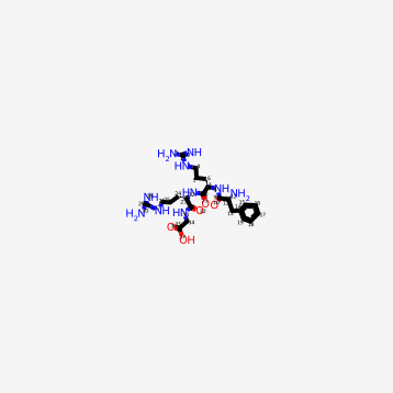 N=C(N)NCCC[C@H](NC(=O)[C@H](N)Cc1ccccc1)C(=O)N[C@@H](CCCNC(=N)N)C(=O)NCC(=O)O